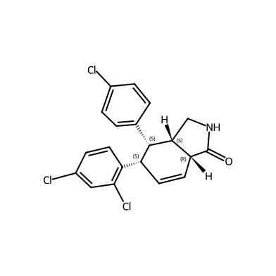 O=C1NC[C@H]2[C@@H](c3ccc(Cl)cc3)[C@@H](c3ccc(Cl)cc3Cl)C=C[C@@H]12